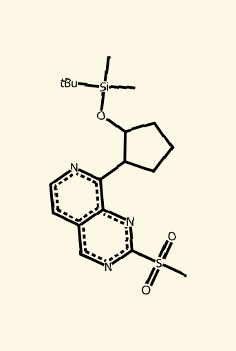 CC(C)(C)[Si](C)(C)OC1CCCC1c1nccc2cnc(S(C)(=O)=O)nc12